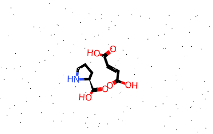 O=C(O)C=CC(=O)O.O=C(O)[C@@H]1CCCN1